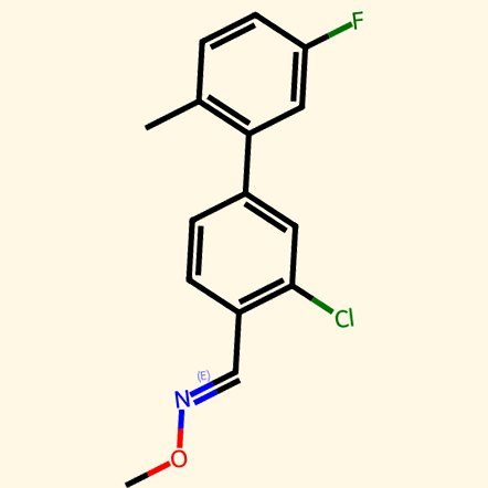 CO/N=C/c1ccc(-c2cc(F)ccc2C)cc1Cl